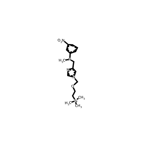 CN(Cc1cn(COCC[Si](C)(C)C)cn1)c1cccc([N+](=O)[O-])c1